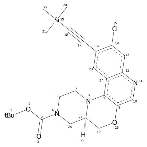 CC(C)(C)OC(=O)N1CCN2c3c(cnc4cc(Cl)c(C#C[Si](C)(C)C)cc34)OC[C@H]2C1